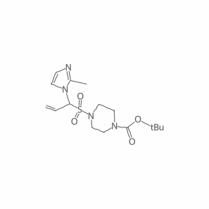 C=CC(n1ccnc1C)S(=O)(=O)N1CCN(C(=O)OC(C)(C)C)CC1